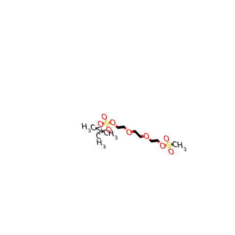 C[Si](C)(C)OS(=O)(=O)OCCOCCOCCOS(C)(=O)=O